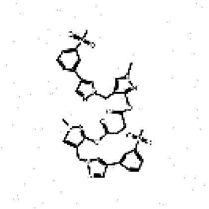 Cn1cc(Cn2cc(-c3cccc(S(C)(=O)=O)c3)cn2)c(OC(=O)CCC(=O)Oc2nn(C)cc2Cn2cc(-c3cccc(S(C)(=O)=O)c3)cn2)n1